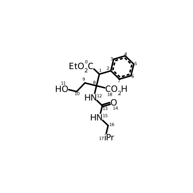 CCOC(=O)C(c1ccccc1)C(CCO)(NC(=O)NCC(C)C)C(=O)O